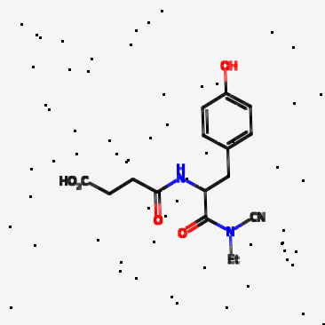 CCN(C#N)C(=O)C(Cc1ccc(O)cc1)NC(=O)CCC(=O)O